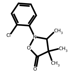 CC1N(c2ccccc2Cl)OC(=O)C1(C)C